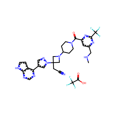 CNCc1cc(C(=O)N2CCC(N3CC(CC#N)(n4cc(-c5ncnc6[nH]ccc56)cn4)C3)CC2)nc(C(F)(F)F)n1.O=C(O)C(F)(F)F